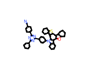 N#Cc1ccc(-c2nc(-c3ccccc3)nc(-c3ccc(-n4c5ccccc5c5c6oc7ccccc7c6c6sc7ccccc7c6c54)cc3)n2)cc1